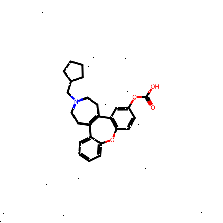 O=C(O)Oc1ccc2c(c1)C1=C(CCN(CC3CCCC3)CC1)c1ccccc1O2